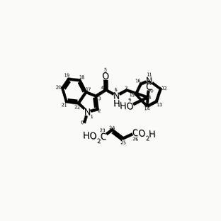 Cn1cc(C(=O)NCC2(O)CN3CCC2CC3)c2ccccc21.O=C(O)C=CC(=O)O